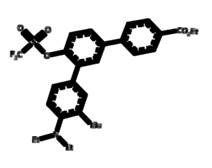 CCOC(=O)c1ccc(-c2ccc(OS(=O)(=O)C(F)(F)F)c(-c3ccc(N(CC)CC)c(C(C)(C)C)c3)c2)cc1